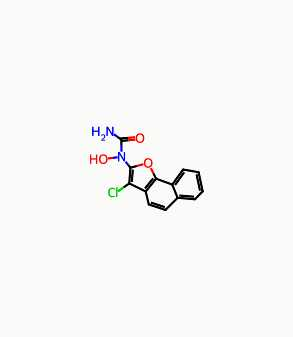 NC(=O)N(O)c1oc2c(ccc3ccccc32)c1Cl